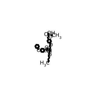 CCCCCOCCN(CCOc1ccc(CC(OCC)C(=O)O)cc1)C(=O)Nc1ccc(Oc2ccccc2)cc1